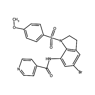 COc1ccc(S(=O)(=O)N2CCc3cc(Br)cc(NC(=O)c4ccncc4)c32)cc1